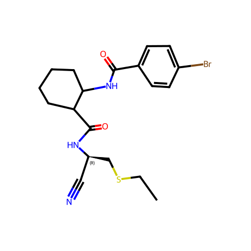 CCSC[C@@H](C#N)NC(=O)C1CCCCC1NC(=O)c1ccc(Br)cc1